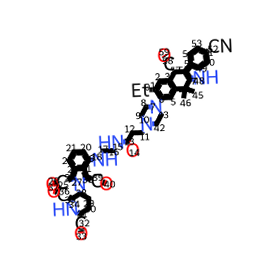 CCc1cc2c(cc1N1CCN(CCC(=O)NCCNc3cccc4c(=C=O)n(C5CCC(=C=O)NC5=C=O)c(=C=O)c34)CC1)C(C)(C)c1[nH]c3cc(C#N)ccc3c1C2=C=O